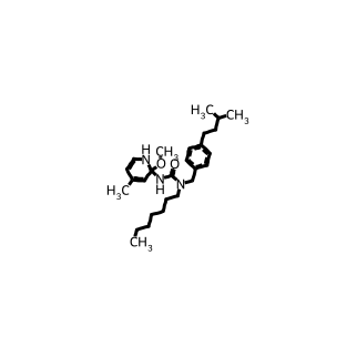 CCCCCCCN(Cc1ccc(CCC(C)C)cc1)C(=O)NC1(OC)C=C(C)C=CN1